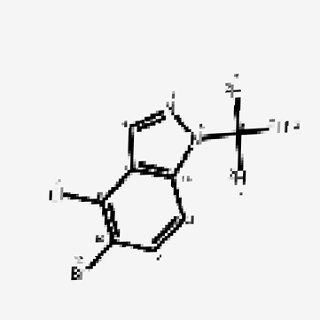 [2H]C([2H])([2H])n1ncc2c(Cl)c(Br)ccc21